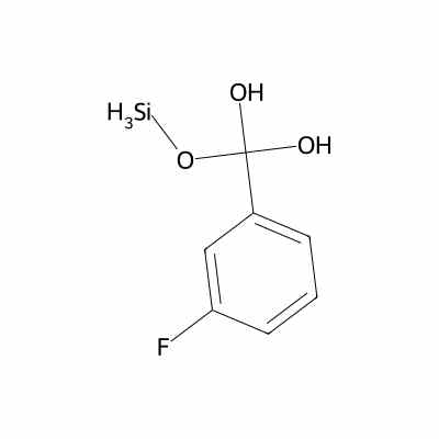 OC(O)(O[SiH3])c1cccc(F)c1